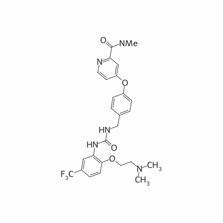 CNC(=O)c1cc(Oc2ccc(CNC(=O)Nc3cc(C(F)(F)F)ccc3OCCN(C)C)cc2)ccn1